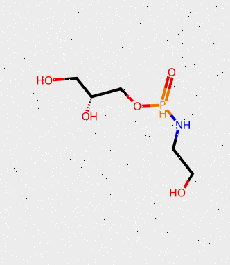 O=[PH](NCCO)OC[C@H](O)CO